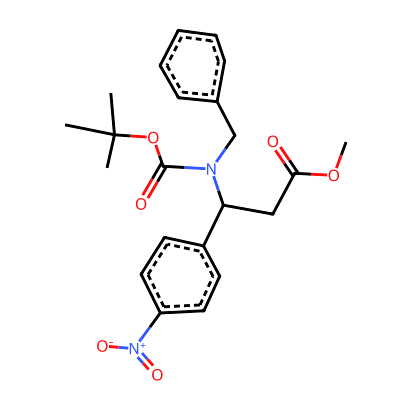 COC(=O)CC(c1ccc([N+](=O)[O-])cc1)N(Cc1ccccc1)C(=O)OC(C)(C)C